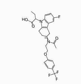 CCC(C(=O)O)n1c2c(c3cc(F)ccc31)C[C@@H](N(CCOc1ccc(C(F)(F)F)cc1)C(C)=O)CC2